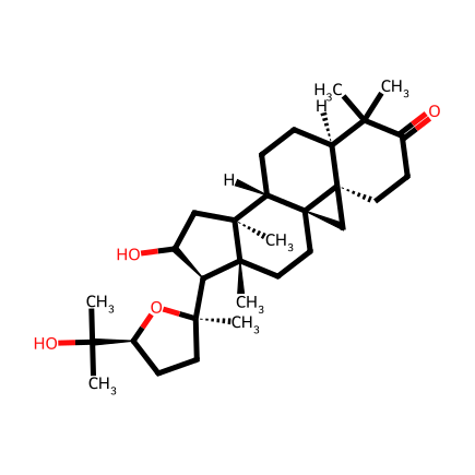 CC(C)(O)[C@@H]1CC[C@](C)([C@H]2C(O)C[C@@]3(C)[C@@H]4CC[C@H]5C(C)(C)C(=O)CC[C@@]56C[C@@]46CC[C@]23C)O1